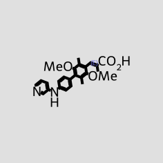 COc1c(C)c(-c2ccc(Nc3cccnc3)cc2)c(OC)c(C)c1/C=C(\C)C(=O)O